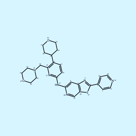 c1cc(-c2nc3cc(Nc4ccc(C5CCOCC5)c(CN5CCOCC5)n4)ncc3s2)ccn1